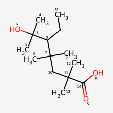 CCC(C(C)(C)O)C(C)(C)CC(C)(C)C(=O)O